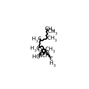 CCCCOc1c(C)c(/C=N/O)c2c(c1C)CCC(C)(CCCC(C)CCCC(C)CCCC(C)C)O2